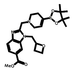 COC(=O)c1ccc2nc(CN3CC=C(B4OC(C)(C)C(C)(C)O4)CC3)n(CC3CCO3)c2c1